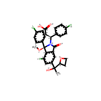 CO[C@]1(c2ccc(Cl)cc2)c2c(F)cc(C(C)(O)C3CCO3)cc2C(=O)N1[C@@H](CC(=O)O)c1ccc(Cl)cc1